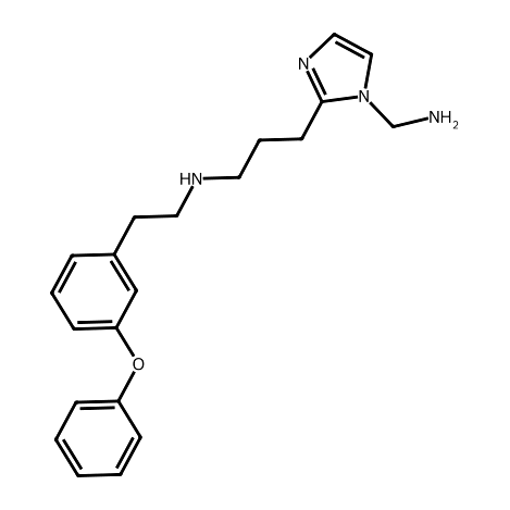 NCn1ccnc1CCCNCCc1cccc(Oc2ccccc2)c1